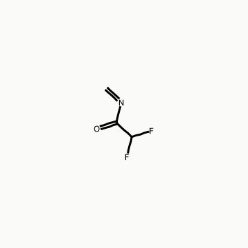 C=NC(=O)C(F)F